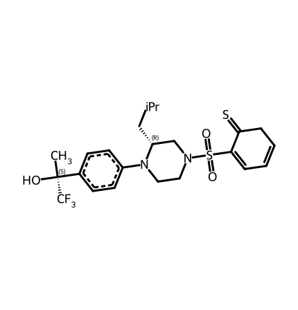 CC(C)C[C@@H]1CN(S(=O)(=O)C2=CC=CCC2=S)CCN1c1ccc([C@](C)(O)C(F)(F)F)cc1